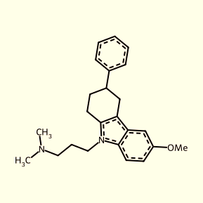 COc1ccc2c(c1)c1c(n2CCCN(C)C)CCC(c2ccccc2)C1